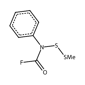 CSSN(C(=O)F)c1ccccc1